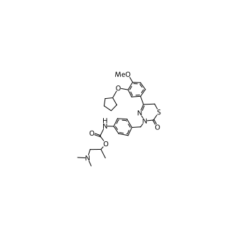 COc1ccc(C2=NN(Cc3ccc(NC(=O)OC(C)CN(C)C)cc3)C(=O)SC2)cc1OC1CCCC1